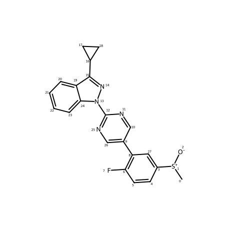 C[S+]([O-])c1ccc(F)c(-c2cnc(-n3nc(C4CC4)c4ccccc43)nc2)c1